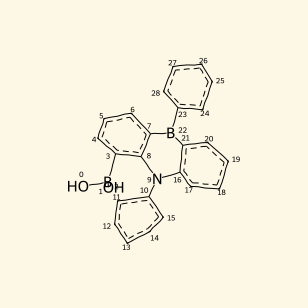 OB(O)c1cccc2c1N(c1ccccc1)c1ccccc1B2c1ccccc1